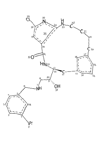 CC(C)c1cccc(CNC[C@@H](O)[C@@H]2Cc3cccc(c3)CCCCNc3cc(cc(Cl)n3)C(=O)N2)c1